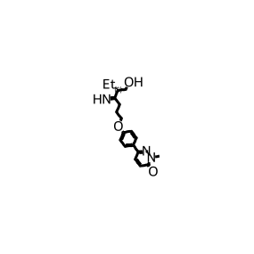 CC[C@H](CO)C(=N)CCCOc1ccc(-c2ccc(=O)n(C)n2)cc1